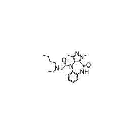 CCCCN(CC)CC(=O)N1c2ccccc2NC(=O)c2c1c(C)nn2C